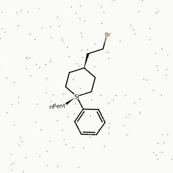 CCCCC[Si@]1(c2ccccc2)CC[C@H](CCBr)CC1